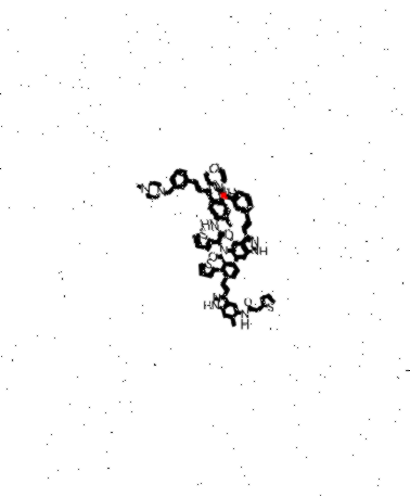 Cc1cc2[nH]nc(C=Cc3cccc(C(=O)N(c4cc5c(C=Cc6cccc(CN7CCOCC7)c6)n[nH]c5cc4C)C(C(=O)Nc4cc5c(C=Cc6cccc(CN7CCN(C)CC7)c6)n[nH]c5cc4C)c4cccs4)c3-c3cccs3)c2cc1NC(=O)Cc1cccs1